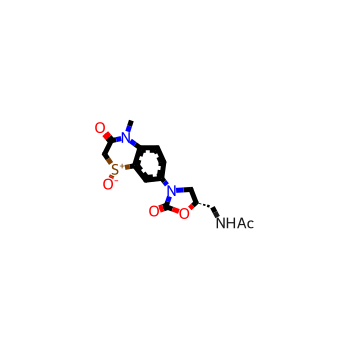 CC(=O)NC[C@H]1CN(c2ccc3c(c2)[S+]([O-])CC(=O)N3C)C(=O)O1